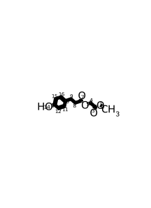 COC(=O)COC(=O)CCc1ccc(O)cc1